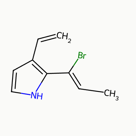 C=Cc1cc[nH]c1C(Br)=CC